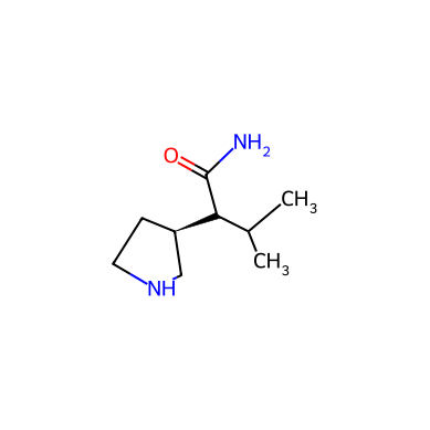 CC(C)C(C(N)=O)[C@@H]1CCNC1